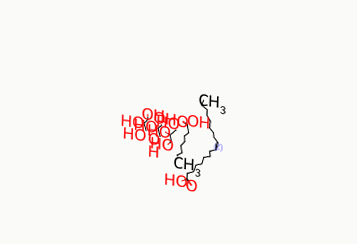 CCCCCCCC(=O)O.CCCCCCCC/C=C\CCCCCCCC(=O)O.OCC(O)CO.OCC(O)CO.OCC(O)CO